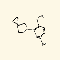 COc1ccc(N)nc1N1CCC2(CC2)C1